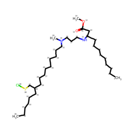 CCCCCCCCCC(CC(=O)OC)NCCCN(C)CCCCCCCCCC(CCCCCC)CSCl